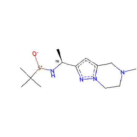 C[C@H](N[S+]([O-])C(C)(C)C)c1cc2n(n1)CCN(C)C2